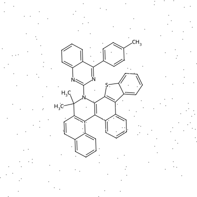 Cc1ccc(-c2nc(N3c4c(c5ccccc5c5c4sc4ccccc45)-c4c(ccc5ccccc45)C3(C)C)nc3ccccc23)cc1